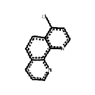 Clc1ccnc2c1ccc1cccnc12